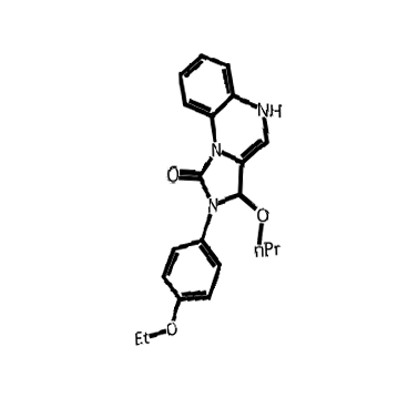 CCCOC1C2=CNc3ccccc3N2C(=O)N1c1ccc(OCC)cc1